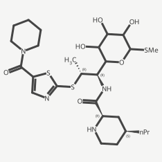 CCC[C@H]1CCN[C@@H](C(=O)N[C@H](C2OC(SC)C(O)C(O)C2O)[C@@H](C)Sc2ncc(C(=O)N3CCCCC3)s2)C1